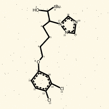 CC(C)(C)C(O)C(CCCCOc1ccc(Cl)c(Cl)c1)n1cncn1